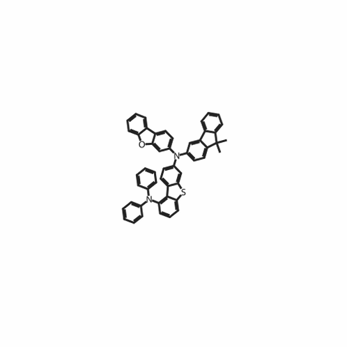 CC1(C)c2ccccc2-c2cc(N(c3ccc4c(c3)oc3ccccc34)c3ccc4c(c3)sc3cccc(N(c5ccccc5)c5ccccc5)c34)ccc21